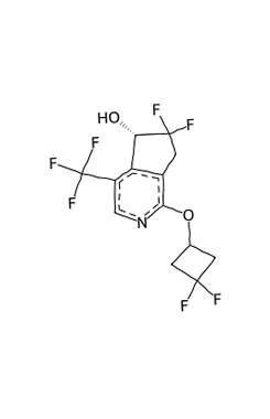 O[C@H]1c2c(C(F)(F)F)cnc(OC3CC(F)(F)C3)c2CC1(F)F